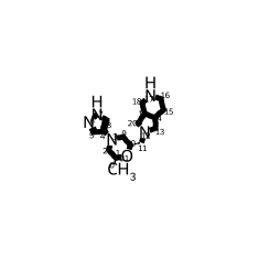 C[C@@H]1CN(c2cn[nH]c2)C[C@H](CN2CC3CCNCC3C2)O1